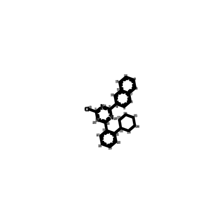 Clc1nc(-c2ccc3ccccc3c2)nc(-c2ccccc2C2CCCCC2)n1